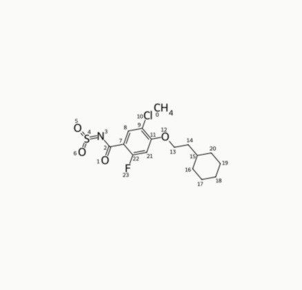 C.O=C(N=S(=O)=O)c1cc(Cl)c(OCCC2CCCCC2)cc1F